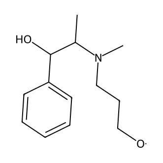 CC(C(O)c1ccccc1)N(C)CCC[O]